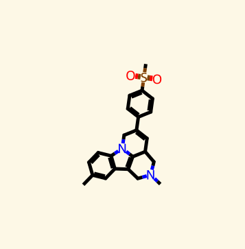 Cc1ccc2c(c1)c1c3n2CC(c2ccc(S(C)(=O)=O)cc2)=CC3CN(C)C1